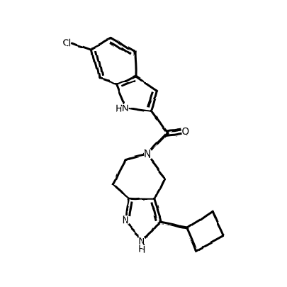 O=C(c1cc2ccc(Cl)cc2[nH]1)N1CCc2n[nH]c(C3CCC3)c2C1